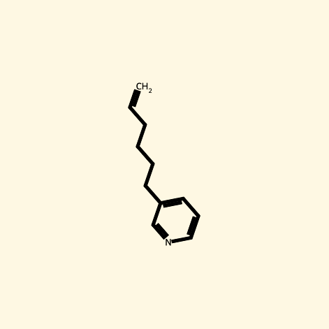 C=CCCCCc1cccnc1